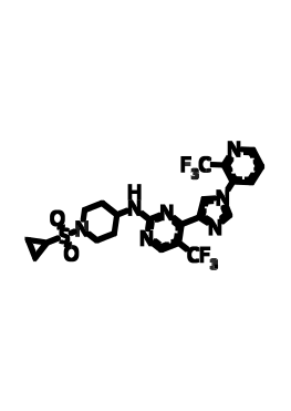 O=S(=O)(C1CC1)N1CCC(Nc2ncc(C(F)(F)F)c(-c3cn(-c4cccnc4C(F)(F)F)cn3)n2)CC1